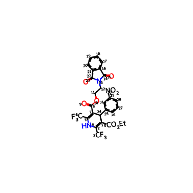 CCOC(=O)C1=C(C(F)(F)F)NC(C(F)(F)F)=C(C(=O)OCCN2C(=O)c3ccccc3C2=O)C1c1cccc([N+](=O)[O-])c1